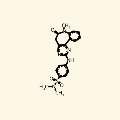 CN1C(=O)Cc2cnc(Nc3ccc(S(=O)(=O)N(C)C)cc3)nc2-c2ccccc21